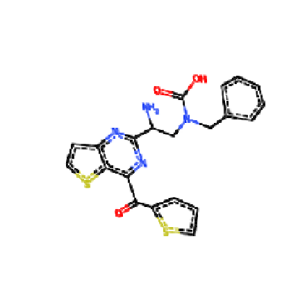 NC(CN(Cc1ccccc1)C(=O)O)c1nc(C(=O)c2cccs2)c2sccc2n1